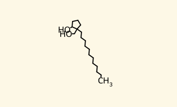 CCCCCCCCCCCCC1(CO)CCCC1O